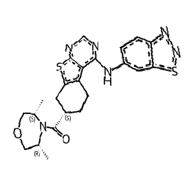 C[C@@H]1COC[C@H](C)N1C(=O)[C@H]1CCc2c(sc3ncnc(Nc4ccc5nnsc5c4)c23)C1